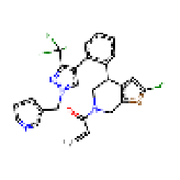 C=CC(=O)N1Cc2sc(Cl)cc2C(c2ccccc2-c2cn(Cc3cccnc3)nc2C(F)(F)F)C1